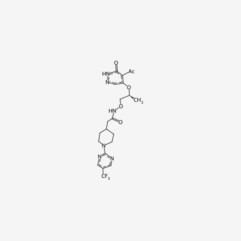 CC(=O)c1c(O[C@@H](C)CONC(=O)CC2CCN(c3ncc(C(F)(F)F)cn3)CC2)cn[nH]c1=O